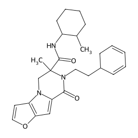 CC1CCCCC1NC(=O)C1(C)Cn2c(cc3occc32)C(=O)N1CCC1C=CC=CC1